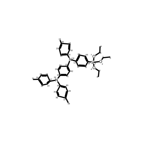 CCO[Si](OCC)(OCC)c1ccc(N(c2ccc(C)cc2)c2ccc(N(c3ccc(C)cc3)c3ccc(C)cc3)cc2)cc1